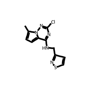 Cc1ccc2c(NCc3ccsn3)nc(Cl)nn12